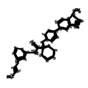 Cn1nnc2cc(-c3ccc(CC4(C(=O)Nc5cccc(/C=C/C(=O)O)c5)CCCCC4)cc3)ccc21